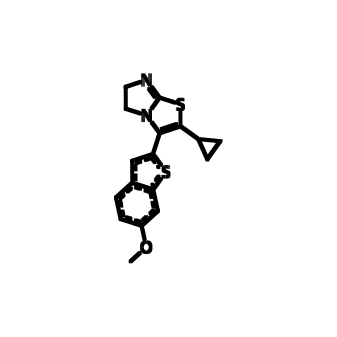 COc1ccc2cc(C3=C(C4CC4)SC4=NCCN43)sc2c1